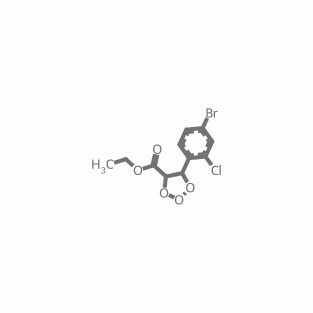 CCOC(=O)C1OOOC1c1ccc(Br)cc1Cl